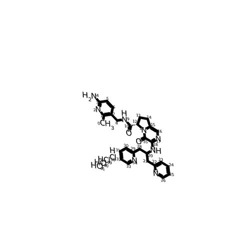 Cc1nc(N)ccc1CNC(=O)[C@@H]1CCc2cnc(NC(Cc3ccccn3)Cc3ccccn3)c(=O)n21.Cl.Cl.Cl.Cl